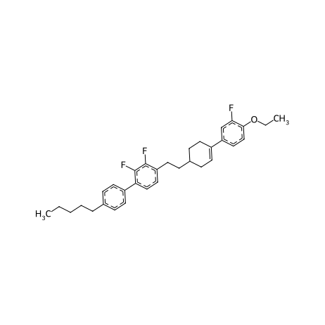 CCCCCc1ccc(-c2ccc(CCC3CC=C(c4ccc(OCC)c(F)c4)CC3)c(F)c2F)cc1